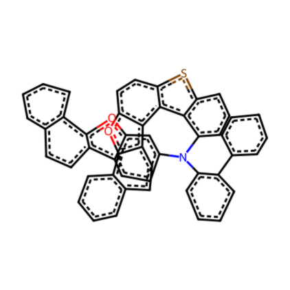 c1ccc(-c2ccccc2N(c2ccc3c(c2)oc2c4ccccc4ccc32)c2cccc3sc4ccc5oc6c7ccccc7ccc6c5c4c23)cc1